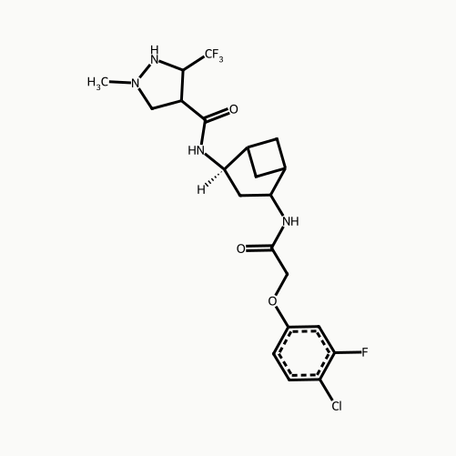 CN1CC(C(=O)N[C@@H]2CC(NC(=O)COc3ccc(Cl)c(F)c3)C3CC2C3)C(C(F)(F)F)N1